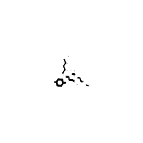 CCOC(=O)Cn1c(=O)nc2n(C[C@@H](O)C[C@@H](O)CO)c3cc(C)c(C)cc3nc-2c1=O